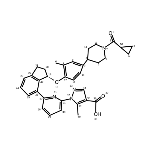 Cc1cc(C2CCN(C(=O)C3CC3)CC2)ccc1O[C@H]1CCc2cccc(-c3cccc(-n4ncc(C(=O)O)c4C)n3)c21